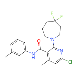 Cc1cccc(NC(=O)c2c(C)cc(Cl)nc2N2CCCC(F)(F)CC2)c1